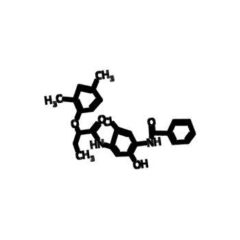 CCC(Oc1ccc(C)cc1C)C(=O)Nc1cc(O)c(NC(=O)c2ccccc2)cc1Cl